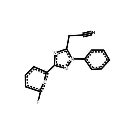 N#CCc1nc(-c2cccc(F)c2)nn1-c1ccccc1